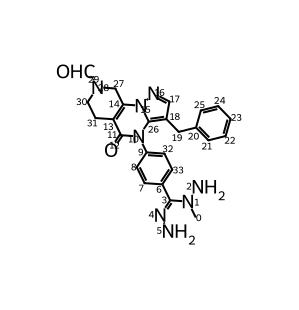 CN(N)/C(=N\N)c1ccc(-n2c(=O)c3c(n4ncc(Cc5ccccc5)c24)CN(C=O)CC3)cc1